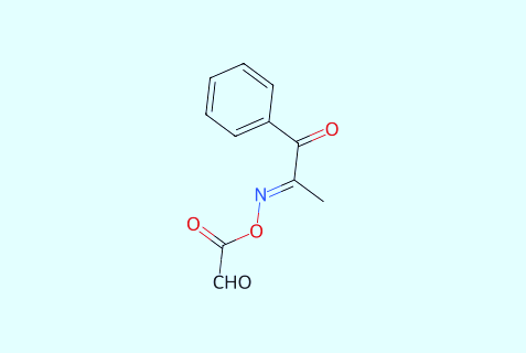 CC(=NOC(=O)C=O)C(=O)c1ccccc1